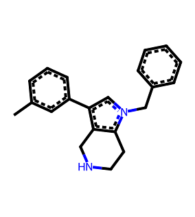 Cc1cccc(-c2cn(Cc3ccccc3)c3c2CNCC3)c1